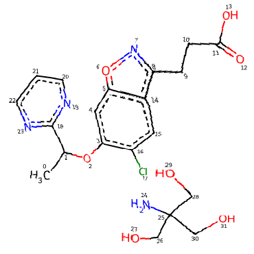 CC(Oc1cc2onc(CCC(=O)O)c2cc1Cl)c1ncccn1.NC(CO)(CO)CO